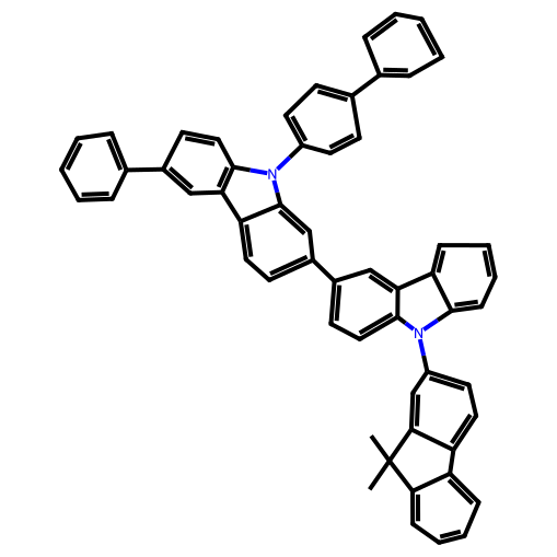 CC1(C)c2ccccc2-c2ccc(-n3c4ccccc4c4cc(-c5ccc6c7cc(-c8ccccc8)ccc7n(-c7ccc(-c8ccccc8)cc7)c6c5)ccc43)cc21